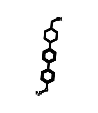 OCC1CCC(c2ccc(-c3ccc(OC(F)(F)F)cc3)cc2)CC1